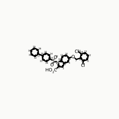 O=C(O)c1cc2cc(OCc3c(Cl)cccc3Cl)ccc2n1S(=O)(=O)c1ccc(-c2ccccc2)cc1